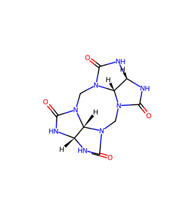 O=C1N[C@H]2NC(=O)N3CN4C(=O)N[C@H]5NC(=O)N(CN1[C@@H]23)[C@H]54